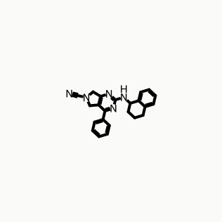 N#CN1Cc2nc(NC3CCCc4ccccc43)nc(-c3ccccc3)c2C1